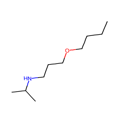 CCCCOCCCNC(C)C